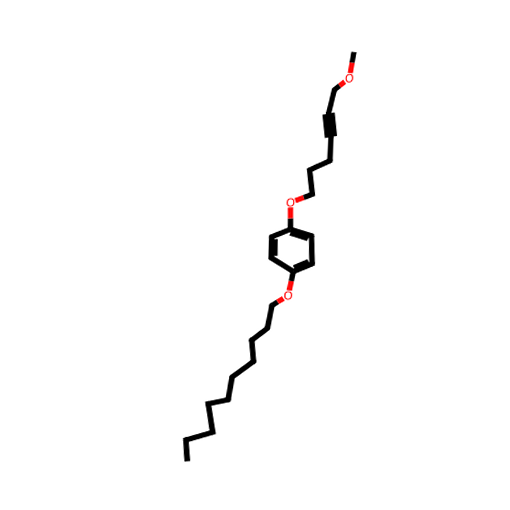 CCCCCCCCCCOc1ccc(OCCCC#CCOC)cc1